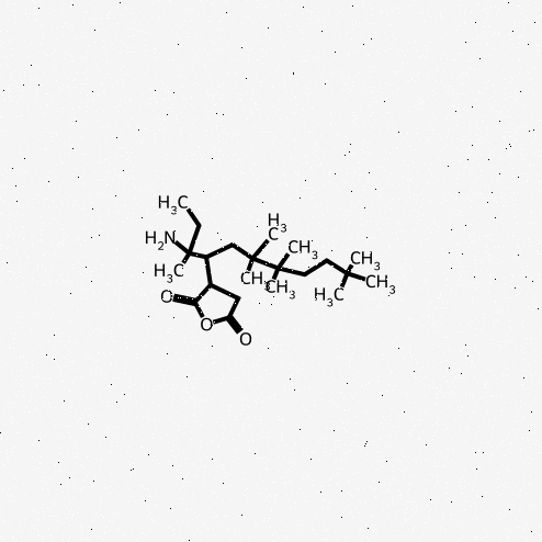 CCC(C)(N)C(CC(C)(C)C(C)(C)CCC(C)(C)C)C1CC(=O)OC1=O